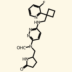 O=CN(CC1CCC(=O)N1)c1ccc(NCC2(c3ncccc3F)CCC2)nn1